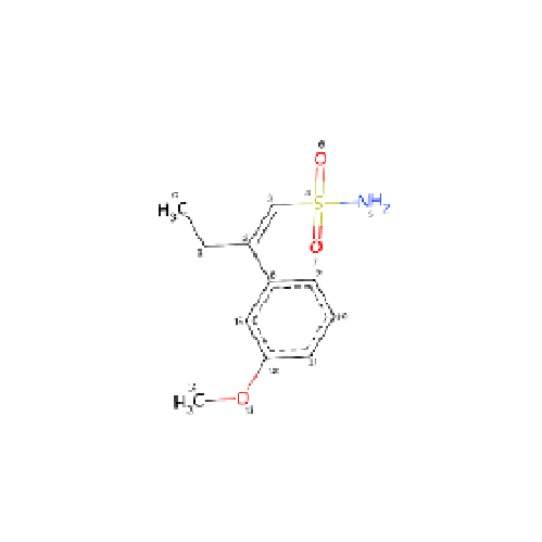 CC/C(=C/S(N)(=O)=O)c1cccc(OC)c1